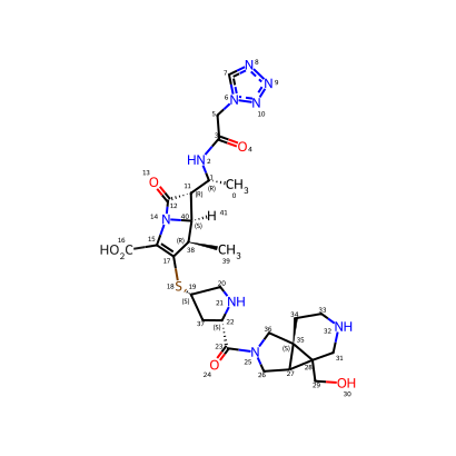 C[C@@H](NC(=O)Cn1cnnn1)[C@H]1C(=O)N2C(C(=O)O)=C(S[C@@H]3CN[C@H](C(=O)N4CC5C6(CO)CNCC[C@]56C4)C3)[C@H](C)[C@H]12